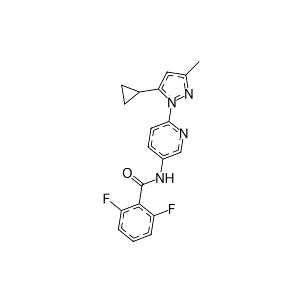 Cc1cc(C2CC2)n(-c2ccc(NC(=O)c3c(F)cccc3F)cn2)n1